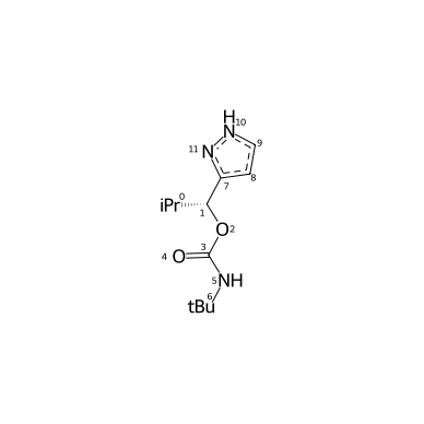 CC(C)[C@@H](OC(=O)NC(C)(C)C)c1cc[nH]n1